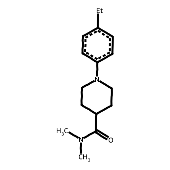 CCc1ccc(N2CCC(C(=O)N(C)C)CC2)cc1